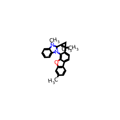 Cc1ccc2c(c1)oc1c3c(ccc12)C1(C)CC1(C)C1N(C)c2ccccc2N31